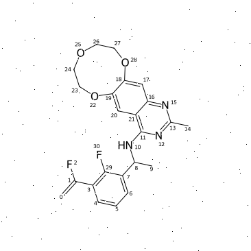 C=C(F)c1cccc(C(C)Nc2nc(C)nc3cc4c(cc23)OCCOCCO4)c1F